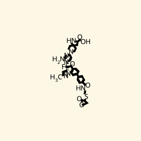 Cc1ccn(-c2cc(-c3ccc(C(=O)NCCSC4CCOC4=O)cc3)ccc2[C@@H](Oc2cc(N3CCC4(CC3)CNC(C(=O)O)C4)nc(N)n2)C(F)(F)F)n1